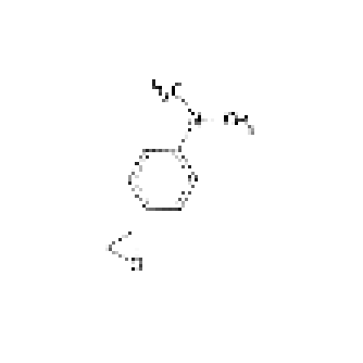 C1CO1.CN(C)c1ccccc1